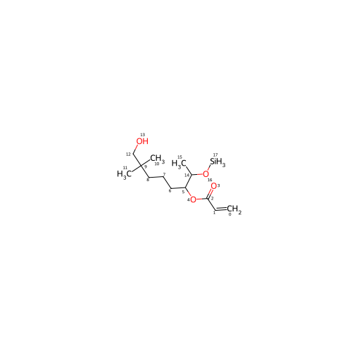 C=CC(=O)OC(CCCC(C)(C)CO)C(C)O[SiH3]